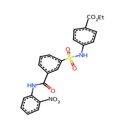 CCOC(=O)c1ccc(NS(=O)(=O)c2cccc(C(=O)Nc3ccccc3[N+](=O)[O-])c2)cc1